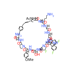 COc1ccc(C[C@@H]2NC(=O)[C@H]([C@@H](C)O)NC(=O)[C@@H]3C[C@H](F)CN3C(=O)[C@H](Cc3c[nH]c4ccc(F)cc34)NC(=O)[C@H](Cc3c[nH]c4ccc(F)cc34)NC(=O)[C@@H](C)NC(=O)[C@H](CCCCN)NC(=O)[C@@H](NC(C)=O)CC/C=C/Cc3ccc(cc3)C[C@@H](C(N)=O)NC(=O)[C@]3(C)CCCN3C2=O)cc1